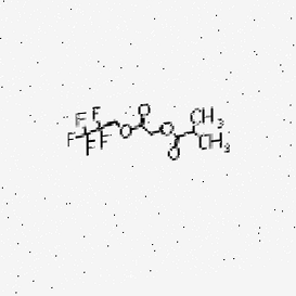 CC(C)C(=O)OCC(=O)OCC(F)(F)C(F)(F)F